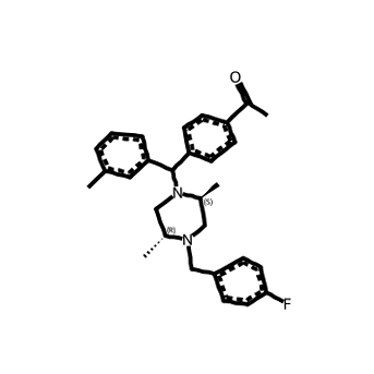 CC(=O)c1ccc(C(c2cccc(C)c2)N2C[C@@H](C)N(Cc3ccc(F)cc3)C[C@@H]2C)cc1